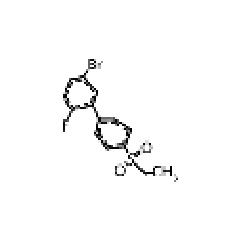 CCS(=O)(=O)c1ccc(-c2cc(Br)ccc2F)cc1